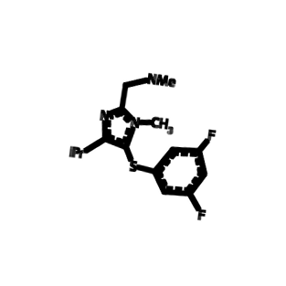 CNCc1nc(C(C)C)c(Sc2cc(F)cc(F)c2)n1C